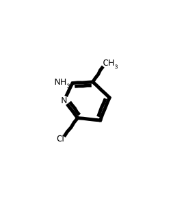 Cc1ccc(Cl)nc1.N